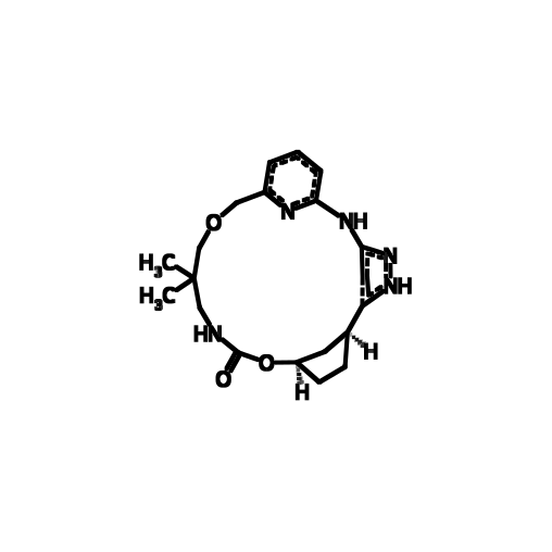 CC1(C)CNC(=O)O[C@@H]2CC[C@@H](C2)c2cc(n[nH]2)Nc2cccc(n2)COC1